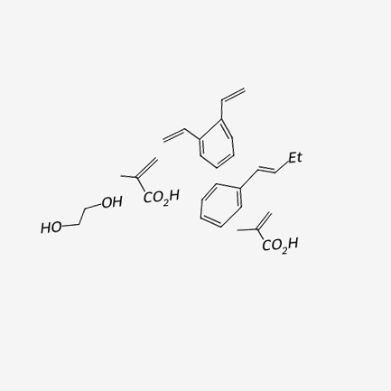 C=C(C)C(=O)O.C=C(C)C(=O)O.C=Cc1ccccc1C=C.CCC=Cc1ccccc1.OCCO